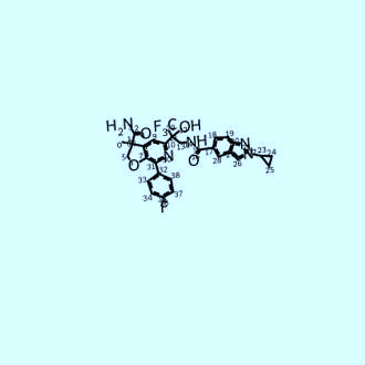 C[C@]1(C(N)=O)COc2c1cc(C(O)(CNC(=O)c1ccc3nn(C4CC4)cc3c1)C(F)(F)F)nc2-c1ccc(F)cc1